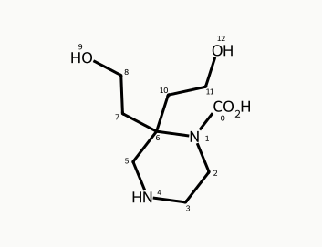 O=C(O)N1CCNCC1(CCO)CCO